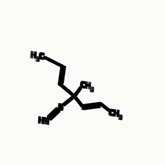 CC=CC(C)(B=N)C=CC